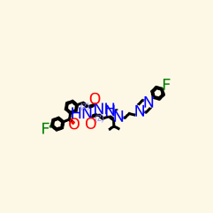 CC(C)c1c(/C=c2\[nH]c(=O)/c(=C/c3cccc(C(=O)c4ccc(F)cc4)c3)[nH]c2=O)ncn1CCCN1CCN(c2ccc(F)cc2)CC1